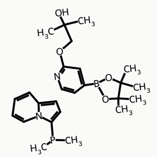 CC(C)(O)COc1cc(B2OC(C)(C)C(C)(C)O2)ccn1.CP(C)c1ccc2ccccn12